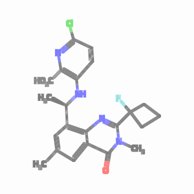 Cc1cc([C@@H](C)Nc2ccc(Cl)nc2C(=O)O)c2nc(C3(F)CCC3)n(C)c(=O)c2c1